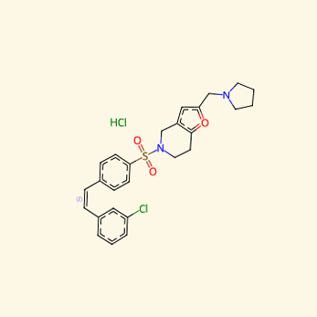 Cl.O=S(=O)(c1ccc(/C=C\c2cccc(Cl)c2)cc1)N1CCc2oc(CN3CCCC3)cc2C1